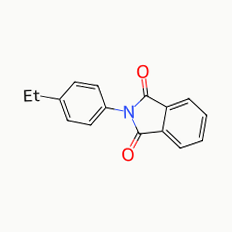 CCc1ccc(N2C(=O)c3ccccc3C2=O)cc1